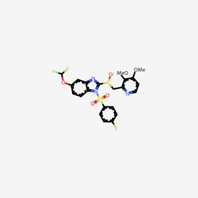 COc1ccnc(C[S+]([O-])c2nc3cc(OC(F)F)ccc3n2S(=O)(=O)c2ccc(F)cc2)c1OC